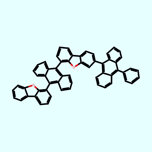 c1ccc(-c2c3ccccc3c(-c3ccc4c(c3)oc3c(-c5c6ccccc6c(-c6cccc7c6oc6ccccc67)c6ccccc56)cccc34)c3ccccc23)cc1